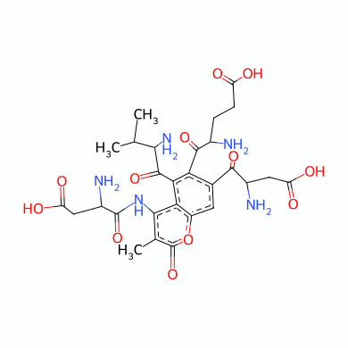 Cc1c(NC(=O)C(N)CC(=O)O)c2c(C(=O)C(N)C(C)C)c(C(=O)C(N)CCC(=O)O)c(C(=O)C(N)CC(=O)O)cc2oc1=O